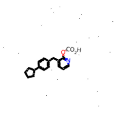 O=C(O)Oc1ncccc1Cc1ccc(C2CCCC2)cc1